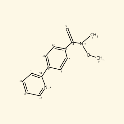 CON(C)C(=O)c1ccc(-c2ccccn2)cc1